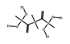 C=C([Si](C)(OCC)OCC)[Si](C)(C)C(=C)[Si](C)(OCC)OCC